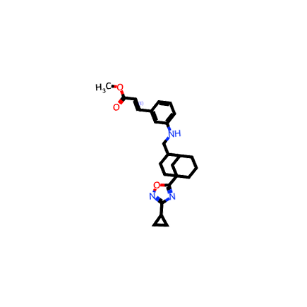 COC(=O)/C=C/c1cccc(NCC2CCC3(c4nc(C5CC5)no4)CCCC2C3)c1